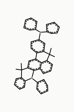 CC1(C)c2ccccc2N(c2ccccc2)c2c1cc1c3c(cccc23)C(C)(C)c2cc(N(c3ccccc3)c3ccccc3)ccc2-1